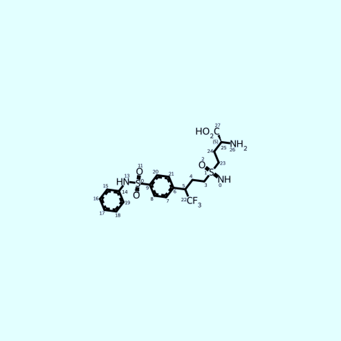 N=S(=O)(CCC(c1ccc(S(=O)(=O)Nc2ccccc2)cc1)C(F)(F)F)CC[C@H](N)C(=O)O